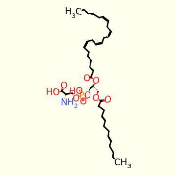 CCCCC/C=C\C/C=C\C/C=C\C/C=C\CCCCCC(=O)O[C@H](COC(=O)CCCCCCCCCCCC)COP(=O)(O)OC[C@H](N)C(=O)O